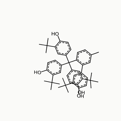 Cc1ccc(C(c2ccc(O)c(C(C)(C)C)c2)(c2ccc(O)c(C(C)(C)C)c2)c2ccc(O)c(C(C)(C)C)c2)c(-c2ccc(O)c(C(C)(C)C)c2)c1